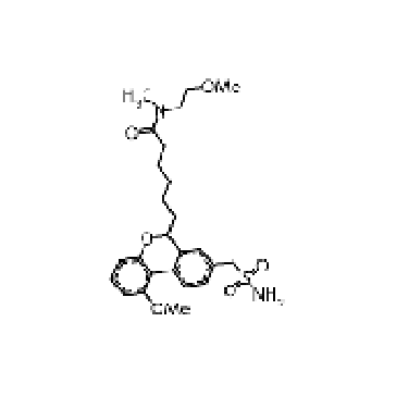 COCCN(C)C(=O)CCCCCC1Oc2cccc(OC)c2-c2ccc(CS(N)(=O)=O)cc21